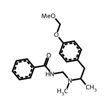 COCOc1ccc(CC(C)N(C)CNC(=O)c2ccccc2)cc1